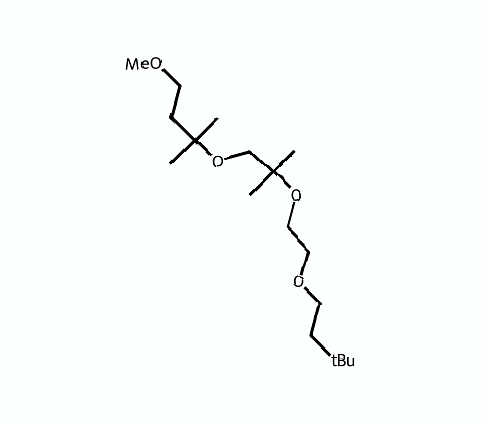 COCCC(C)(C)OCC(C)(C)OCCOCCC(C)(C)C